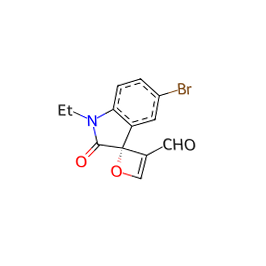 CCN1C(=O)[C@@]2(OC=C2C=O)c2cc(Br)ccc21